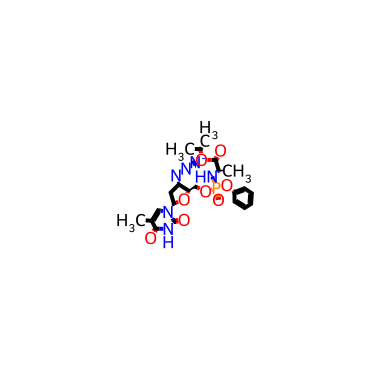 Cc1cn([C@H]2C[C@@H](N=[N+]=[N-])[C@@H](COP(=O)(N[C@@H](C)C(=O)OC(C)C)Oc3ccccc3)O2)c(=O)[nH]c1=O